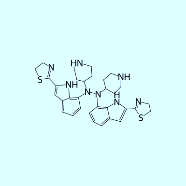 c1cc(N(C2CCNCC2)N(c2cccc3cc(C4=NCCS4)[nH]c23)C2CCNCC2)c2[nH]c(C3=NCCS3)cc2c1